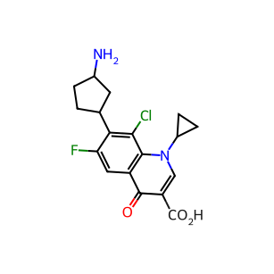 NC1CCC(c2c(F)cc3c(=O)c(C(=O)O)cn(C4CC4)c3c2Cl)C1